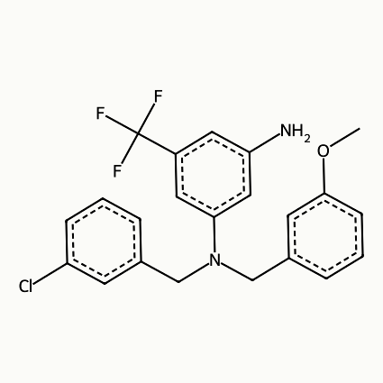 COc1cccc(CN(Cc2cccc(Cl)c2)c2cc(N)cc(C(F)(F)F)c2)c1